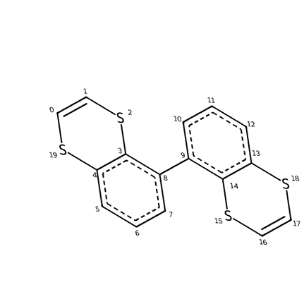 C1=CSc2c(cccc2-c2cccc3c2SC=CS3)S1